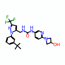 CC(C)(C)c1cccc(-n2nc(C(F)(F)F)cc2CNC(=O)Nc2ccc(N3CC(O)C3)nc2)c1